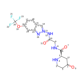 O=C1CCN[C@@H](C(=O)NCC(=O)Nn2cc3ccc(OC(F)(F)F)cc3n2)C1